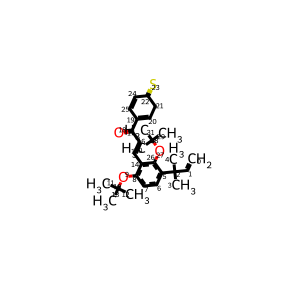 C=CC(C)(C)c1ccc(OC(C)(C)C)c(C=CC(=O)C2=CCC(=S)C=C2)c1OC(C)(C)C